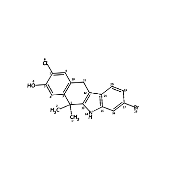 CC1(C)c2cc(O)c(Cl)cc2Cc2c1[nH]c1cc(Br)ccc21